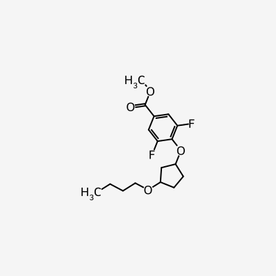 CCCCOC1CCC(Oc2c(F)cc(C(=O)OC)cc2F)C1